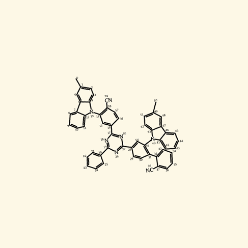 Cc1ccc2c(c1)c1ccccc1n2-c1cc(-c2nc(-c3ccccc3)nc(-c3ccc(-c4ccccc4C#N)c(-n4c5ccccc5c5cc(C)ccc54)c3)n2)ccc1C#N